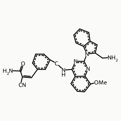 COc1cccc2c(NCc3cccc(/C=C(/C#N)C(N)=O)c3)nc(-n3c(CN)cc4ccccc43)nc12